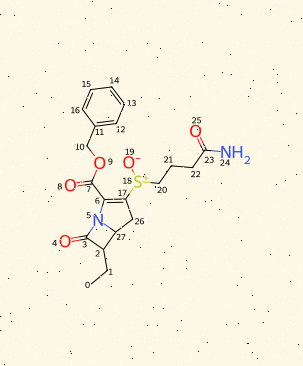 CCC1C(=O)N2C(C(=O)OCc3ccccc3)=C([S+]([O-])CCCC(N)=O)CC12